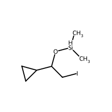 C[SiH](C)OC(CI)C1CC1